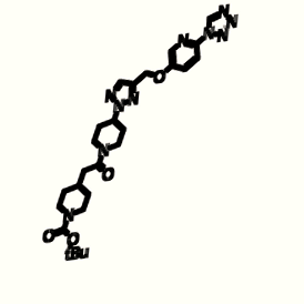 CC(C)(C)OC(=O)N1CCC(CC(=O)N2CCC(n3ncc(COc4ccc(-n5cnnn5)nc4)n3)CC2)CC1